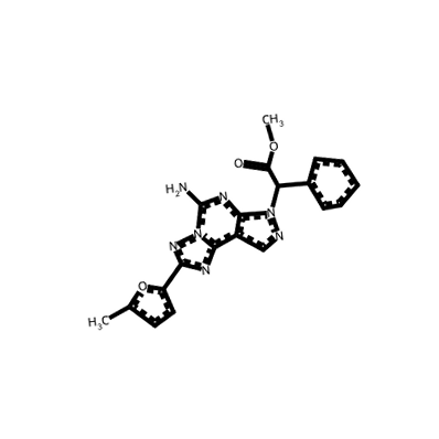 COC(=O)C(c1ccccc1)n1ncc2c1nc(N)n1nc(-c3ccc(C)o3)nc21